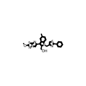 COc1nn2cc(-c3c(CO)n(Cc4csc(-c5ccccc5)n4)c4ccc(C)cc34)nc2s1